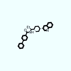 CC[C@H](NC(=O)c1ccc(-c2ccccc2)cc1)[C@H]1CC[C@@H](c2cnc3ccccc3c2)CC1